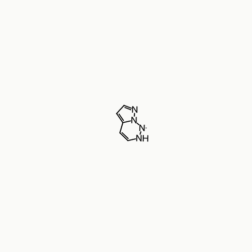 C1=Cc2ccnn2[N]N1